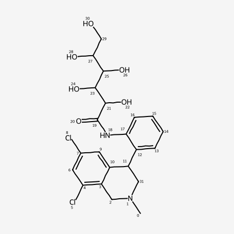 CN1Cc2c(Cl)cc(Cl)cc2C(c2ccccc2NC(=O)C(O)C(O)C(O)C(O)CO)C1